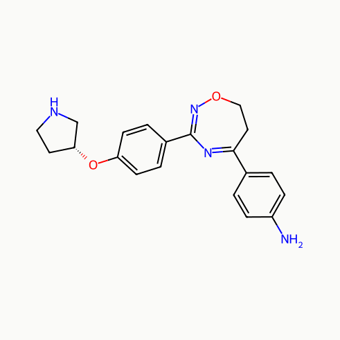 Nc1ccc(C2=NC(c3ccc(O[C@@H]4CCNC4)cc3)=NOCC2)cc1